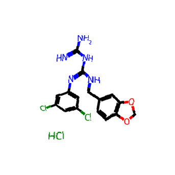 Cl.N=C(N)NC(=Nc1cc(Cl)cc(Cl)c1)NCc1ccc2c(c1)OCO2